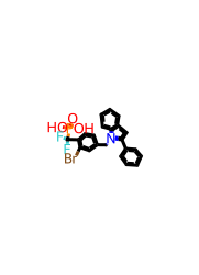 O=P(O)(O)C(F)(F)c1ccc(Cn2c(-c3ccccc3)cc3ccccc32)cc1Br